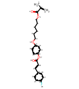 C=C(C)C(=O)OCCCCCCOc1ccc(OC(=O)C=Cc2ccc(F)cc2)cc1